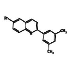 Cc1cc(C)cc(-c2ccc3cc(C(C)C)ccc3n2)c1